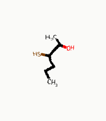 CCCC(S)C(C)O